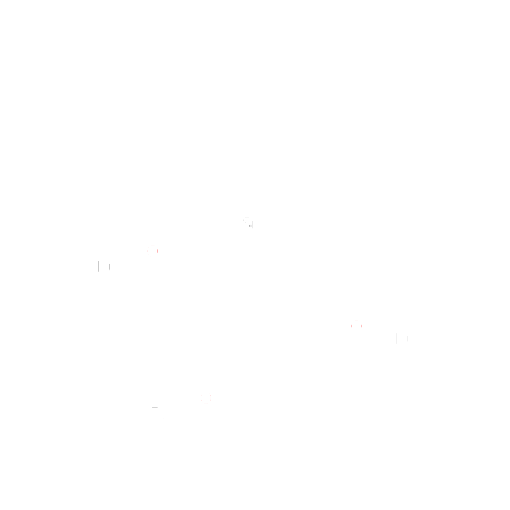 CCOc1cc(OCC)c2c(c1)-c1c(OCC)cccc1[Si]2(c1ccccc1)c1ccccc1